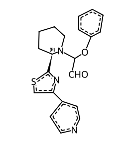 O=CC(Oc1ccccc1)N1CCCC[C@@H]1c1nc(-c2ccncc2)cs1